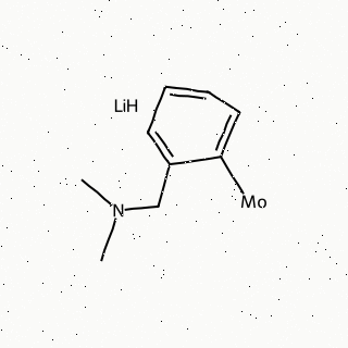 CN(C)Cc1cccc[c]1[Mo].[LiH]